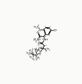 COc1ccc(Cl)cc1C(NC(=O)CC(C)(C)O[Si](C)(C)C(C)(C)C)C(N)=O